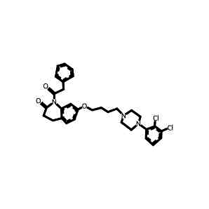 O=C1CCc2ccc(OCCCCN3CCN(c4cccc(Cl)c4Cl)CC3)cc2N1C(=O)Cc1ccccc1